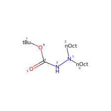 CCCCCCCCN(CCCCCCCC)NC(=O)OC(C)(C)C